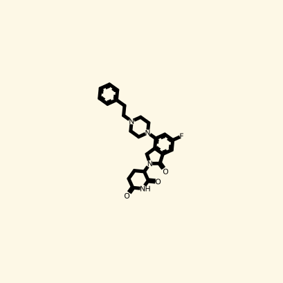 O=C1CCC(N2Cc3c(cc(F)cc3N3CCN(CCc4ccccc4)CC3)C2=O)C(=O)N1